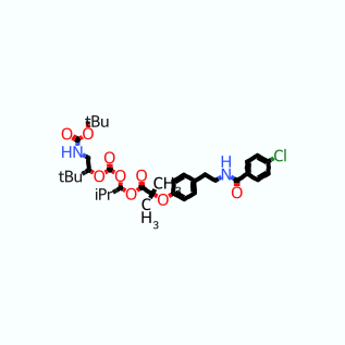 CC(C)C(OC(=O)OC(CNC(=O)OC(C)(C)C)C(C)(C)C)OC(=O)C(C)(C)Oc1ccc(CCNC(=O)c2ccc(Cl)cc2)cc1